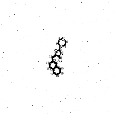 O=C1N=C(N2CCSCC2)SC1=Cc1ccc2ccccc2c1